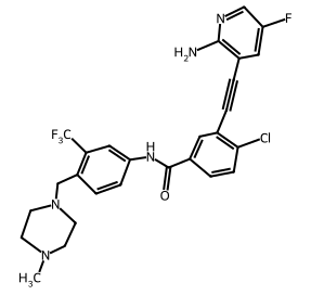 CN1CCN(Cc2ccc(NC(=O)c3ccc(Cl)c(C#Cc4cc(F)cnc4N)c3)cc2C(F)(F)F)CC1